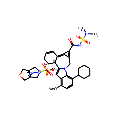 COc1ccc(C2CCCCC2)c2c1cc1n2CC2=C(C(=O)NS(=O)(=O)N(C)C)C2=C2C=CC[C@@H](C(=O)N3CC45COCC4(C3)CN(S(=O)(=O)C(C)C)C5)[C@@H]21